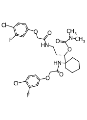 CN(C)C(=O)O[C@@H](CCNC(=O)COc1ccc(Cl)c(F)c1)C1(NC(=O)COc2ccc(Cl)c(F)c2)CCCCC1